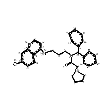 O=C(CN1CCCC1)N(CCCNc1ccnc2cc(Cl)ccc12)C(c1ccccc1)c1ccccc1